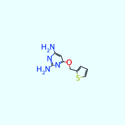 Nc1cc(OCc2cccs2)nc(N)n1